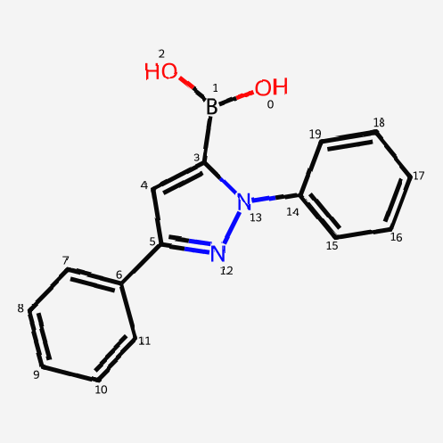 OB(O)c1cc(-c2ccccc2)nn1-c1ccccc1